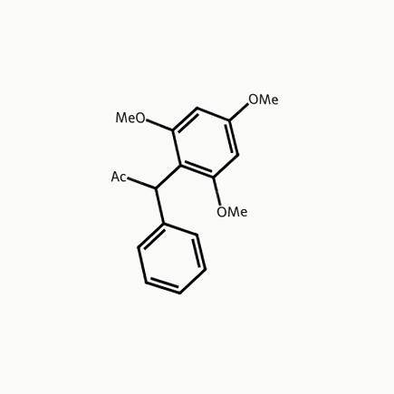 COc1cc(OC)c(C(C(C)=O)c2ccccc2)c(OC)c1